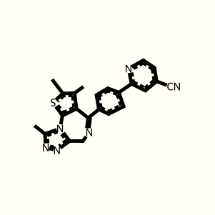 Cc1sc2c(c1C)C(c1ccc(-c3cc(C#N)ccn3)cc1)=NCc1nnc(C)n1-2